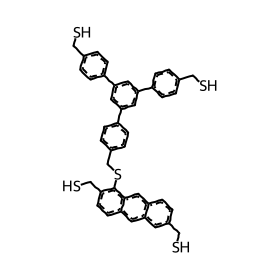 SCc1ccc(-c2cc(-c3ccc(CS)cc3)cc(-c3ccc(CSc4c(CS)ccc5cc6cc(CS)ccc6cc45)cc3)c2)cc1